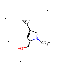 O=C(O)N1CC(C2CC2)=C[C@@H]1CO